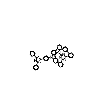 c1ccc(-c2nc(-c3ccccc3)nc(-c3ccc(-n4c5ccccc5c5c4ccc4c6ccccc6n(-c6nc(-c7ccccc7)nc(-c7ccccc7-c7ccccc7)n6)c45)cc3)n2)cc1